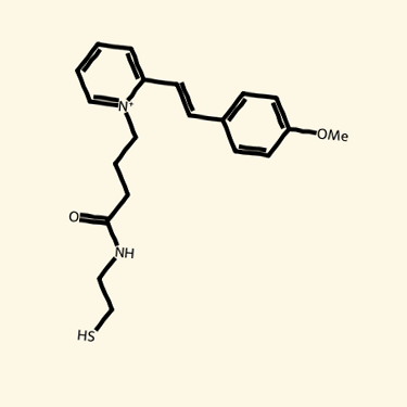 COc1ccc(/C=C/c2cccc[n+]2CCCC(=O)NCCS)cc1